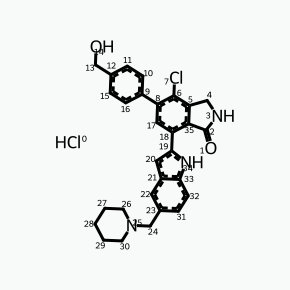 Cl.O=C1NCc2c(Cl)c(-c3ccc(CO)cc3)cc(-c3cc4cc(CN5CCCCC5)ccc4[nH]3)c21